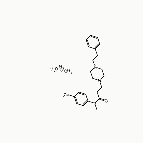 CN(C(=O)CCN1CCN(CCc2ccccc2)CC1)c1cc[c]([Ge])cc1.O.O.O